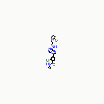 O=C(NC1CC1)c1ccc(-c2cnc3c(NCCCN4CCCC4=O)nccn23)cc1Cl